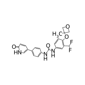 CC1(Oc2ccc(NC(=O)Nc3ccc(-c4ccc(=O)[nH]c4)cc3)cc2C(F)F)COC1